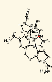 C=C(N)c1ccc2c(c1)CCc1cc(C(N)=O)ccc1C2(C[C@H](C)NCC(=C)N1CCCC1C#N)c1nnc[nH]1